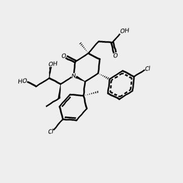 CC[C@@H]([C@H](O)CO)N1C(=O)[C@@](C)(CC(=O)O)C[C@H](c2cccc(Cl)c2)[C@H]1[C@]1(C)C=CC(Cl)=CC1